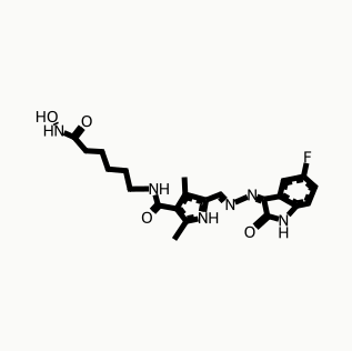 Cc1[nH]c(C=NN=C2C(=O)Nc3ccc(F)cc32)c(C)c1C(=O)NCCCCCC(=O)NO